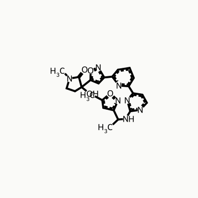 Cc1cc(C(C)Nc2nccc(-c3cccc(-c4cc(C5(O)CCN(C)C5=O)on4)n3)n2)no1